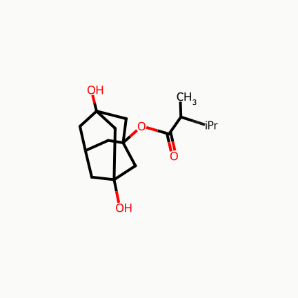 CC(C)C(C)C(=O)OC12CC3CC(O)(CC(O)(C3)C1)C2